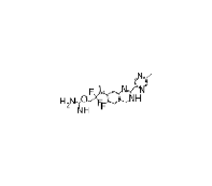 Cc1cnc(C2=Nc3cc([C@H](C)C(F)(F)COC(=N)N)c(F)cc3CN2)cn1